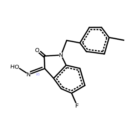 Cc1ccc(CN2C(=O)/C(=N\O)c3cc(F)ccc32)cc1